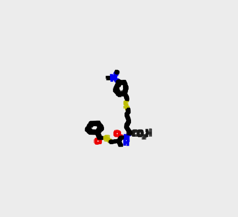 CC(CSC(=O)c1ccccc1)C(=O)N[C@@H](CCCCSCc1ccc(N(C)C)cc1)C(=O)O